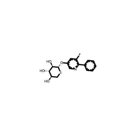 O[C@@H]1[C@@H](O)[C@H](Oc2cnc(-c3ccccc3)c(F)c2)SC[C@H]1O